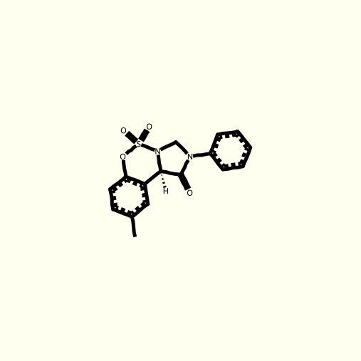 Cc1ccc2c(c1)[C@@H]1C(=O)N(c3ccccc3)CN1S(=O)(=O)O2